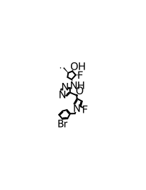 [CH2][C@@H]1C[C@@H](Nc2ncncc2C(=O)c2cc(F)n(Cc3cccc(Br)c3)c2)[C@@H](F)[C@@H]1O